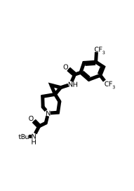 CC(C)(C)NC(=O)CN1CCC2(CC1)CC2NC(=O)c1cc(C(F)(F)F)cc(C(F)(F)F)c1